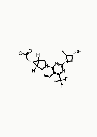 C=Cc1c(N2C[C@@H]3[C@H](CC(=O)O)[C@@H]3C2)nc(N2C[C@@H](O)[C@@H]2C)nc1C(F)(F)F